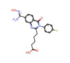 N/C(=N\O)c1ccc2c(=O)n(-c3ccc(F)cc3)c(CCCCC(=O)O)nc2c1